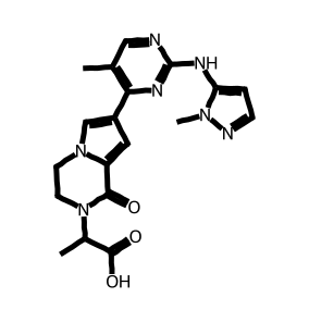 Cc1cnc(Nc2ccnn2C)nc1-c1cc2n(c1)CCN(C(C)C(=O)O)C2=O